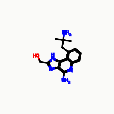 CC(C)(N)Cc1cccc2nc(N)c3nc(CO)[nH]c3c12